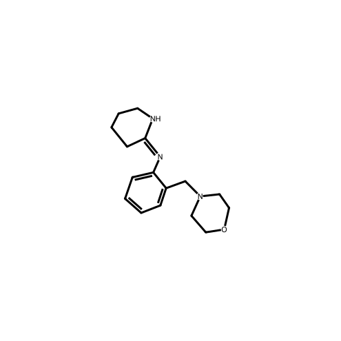 c1ccc(/N=C2\CCCCN2)c(CN2CCOCC2)c1